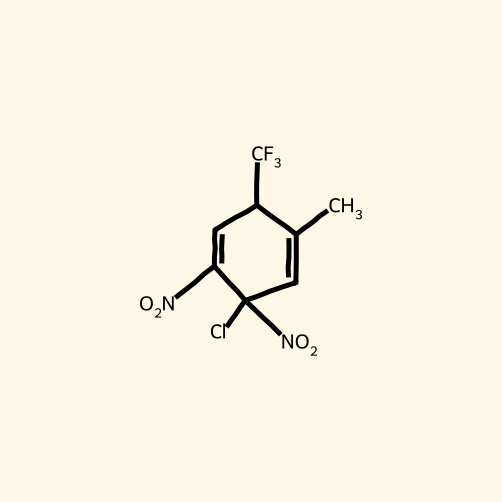 CC1=CC(Cl)([N+](=O)[O-])C([N+](=O)[O-])=CC1C(F)(F)F